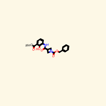 COC(=O)c1cccc(NC(=O)C2CN(C(=O)OCc3ccccc3)C2)c1O